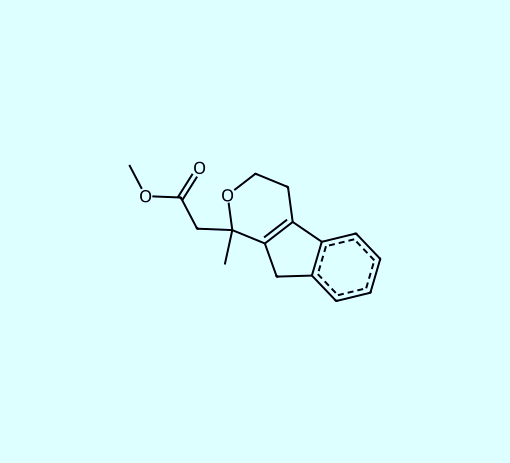 COC(=O)CC1(C)OCCC2=C1Cc1ccccc12